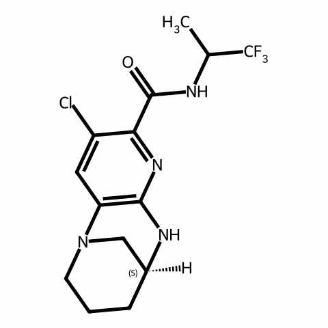 CC(NC(=O)c1nc2c(cc1Cl)N1CCC[C@@H](C1)N2)C(F)(F)F